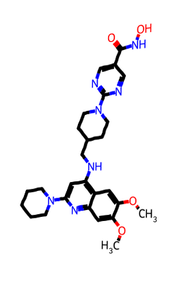 COc1cc2nc(N3CCCCC3)cc(NCC3CCN(c4ncc(C(=O)NO)cn4)CC3)c2cc1OC